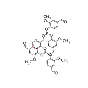 COc1cc(C=O)ccc1OP(OCc1ncccc1OP(Oc1ccc(C=O)cc1OC)Oc1ccc(C=O)cc1OC)Oc1ccc(C=O)cc1OC